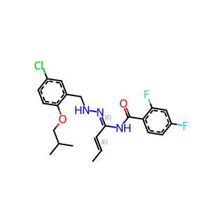 C/C=C/C(=N\NCc1cc(Cl)ccc1OCC(C)C)NC(=O)c1ccc(F)cc1F